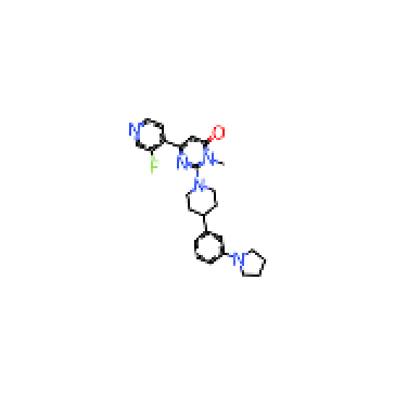 Cn1c(N2CCC(c3cccc(N4CCCC4)c3)CC2)nc(-c2ccncc2F)cc1=O